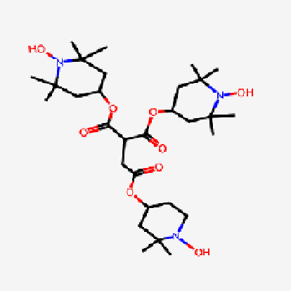 CC1(C)CC(OC(=O)CC(C(=O)OC2CC(C)(C)N(O)C(C)(C)C2)C(=O)OC2CC(C)(C)N(O)C(C)(C)C2)CCN1O